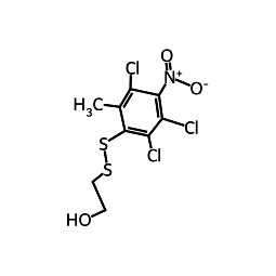 Cc1c(Cl)c([N+](=O)[O-])c(Cl)c(Cl)c1SSCCO